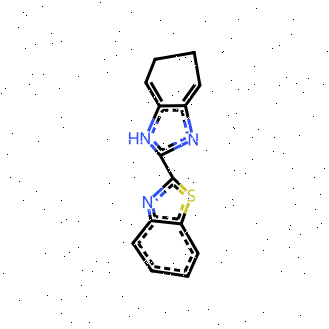 C1=c2nc(-c3nc4ccccc4s3)[nH]c2=CCC1